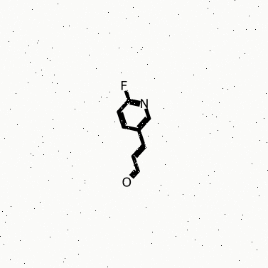 O=CC=Cc1ccc(F)nc1